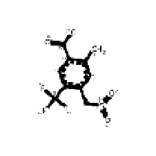 Cc1cc(C[SH](=O)=O)c(C(F)(F)F)cc1C(=O)Cl